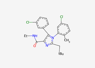 CCNC(=O)c1nc(CC(C)(C)C)n(-c2cc(Cl)ccc2C)c1-c1cccc(Cl)c1